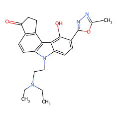 CCN(CC)CCn1c2ccc(-c3nnc(C)o3)c(O)c2c2c3c(ccc21)C(=O)CC3